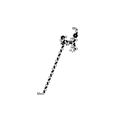 COCCOCCOCCOCCOCCOCCOCCOCCOCCOCCOCCOCCn1cc([C@@H](CC(=O)N[C@H](C(=O)N[C@@H](CCCNC(N)=O)C(=O)Nc2ccc(COCC(C)(C)C)cc2)C(C)C)N2C(=O)C=CC2=O)nn1